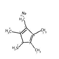 CC1=C(C)C([SiH3])C(C)=C1C.[Na]